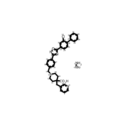 CC(C)(C)N.O=C(O)C1(Cc2cccnc2)CCN(Cc2ccc(-c3noc(-c4ccc(-c5ccccc5)c(Cl)c4)n3)cc2)CC1